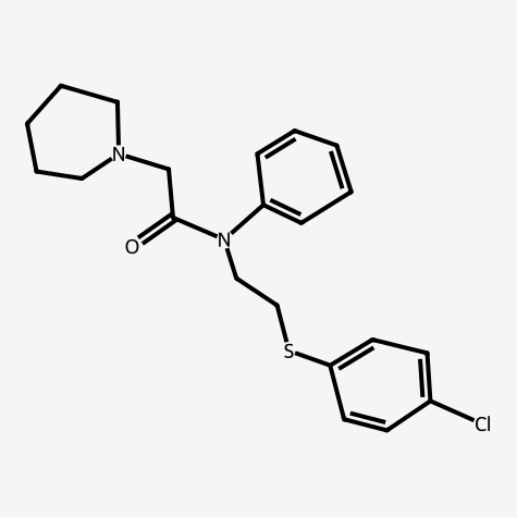 O=C(CN1CCCCC1)N(CCSc1ccc(Cl)cc1)c1ccccc1